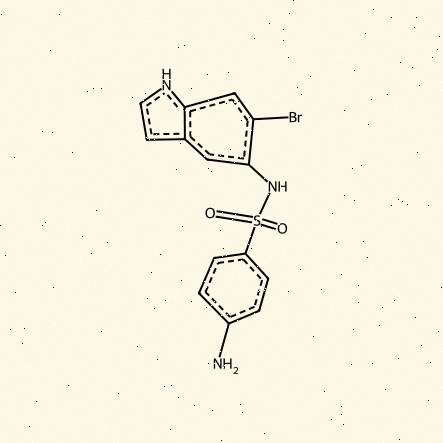 Nc1ccc(S(=O)(=O)Nc2cc3cc[nH]c3cc2Br)cc1